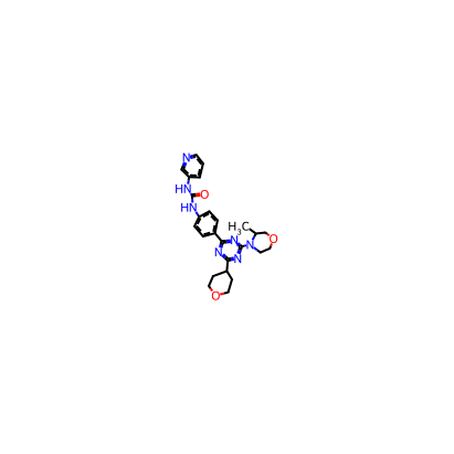 CC1COCCN1c1nc(-c2ccc(NC(=O)Nc3cccnc3)cc2)nc(C2CCOCC2)n1